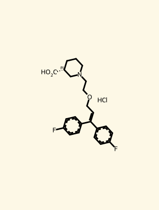 Cl.O=C(O)[C@@H]1CCCN(CCOCC=C(c2ccc(F)cc2)c2ccc(F)cc2)C1